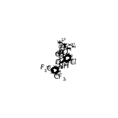 CS(C)(C)CCOP(=O)(OCCS(C)(C)C)Oc1ccc(Cl)cc1C(=O)Nc1cc(C(F)(F)F)cc(C(F)(F)F)c1